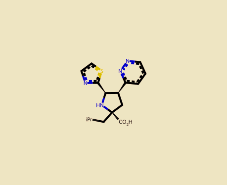 CC(C)C[C@@]1(C(=O)O)C[C@H](c2cccnn2)[C@H](c2nccs2)N1